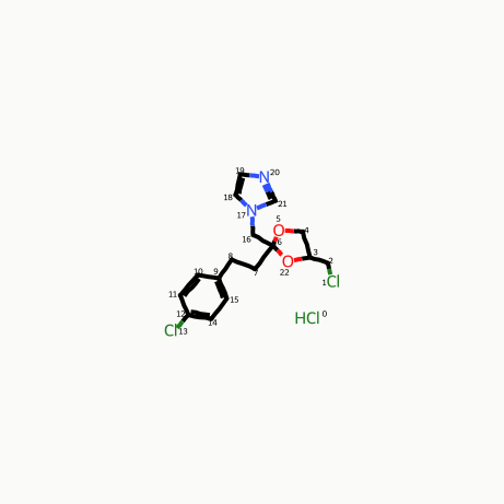 Cl.ClCC1COC(CCc2ccc(Cl)cc2)(Cn2ccnc2)O1